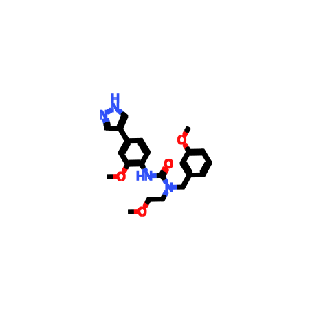 COCCN(Cc1cccc(OC)c1)C(=O)Nc1ccc(-c2cn[nH]c2)cc1OC